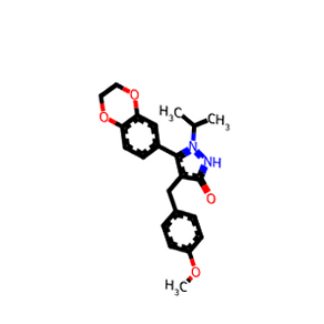 COc1ccc(Cc2c(-c3ccc4c(c3)OCCO4)n(C(C)C)[nH]c2=O)cc1